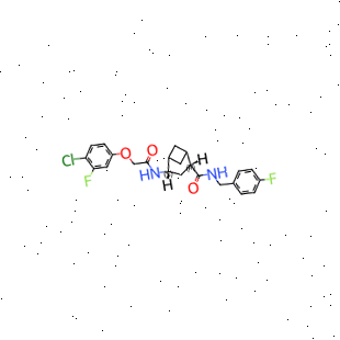 O=C(COc1ccc(Cl)c(F)c1)N[C@H]1C[C@@H](C(=O)NCc2ccc(F)cc2)C2CC1C2